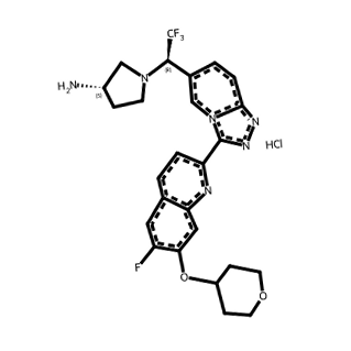 Cl.N[C@H]1CCN([C@H](c2ccc3nnc(-c4ccc5cc(F)c(OC6CCOCC6)cc5n4)n3c2)C(F)(F)F)C1